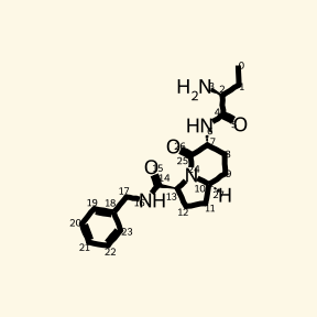 CC[C@H](N)C(=O)N[C@@H]1CC[C@H]2CC[C@@H](C(=O)NCc3ccccc3)N2C1=O